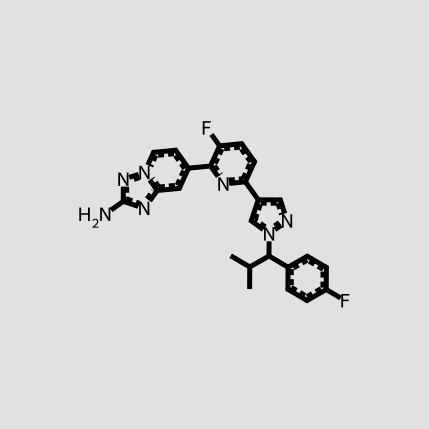 CC(C)C(c1ccc(F)cc1)n1cc(-c2ccc(F)c(-c3ccn4nc(N)nc4c3)n2)cn1